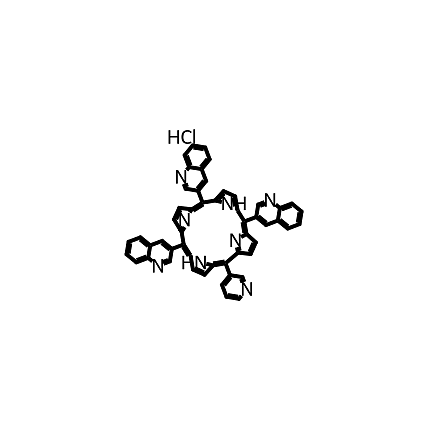 C1=Cc2nc1c(-c1cccnc1)c1ccc([nH]1)c(-c1cnc3ccccc3c1)c1nc(c(-c3cnc4ccccc4c3)c3ccc([nH]3)c2-c2cnc3ccccc3c2)C=C1.Cl